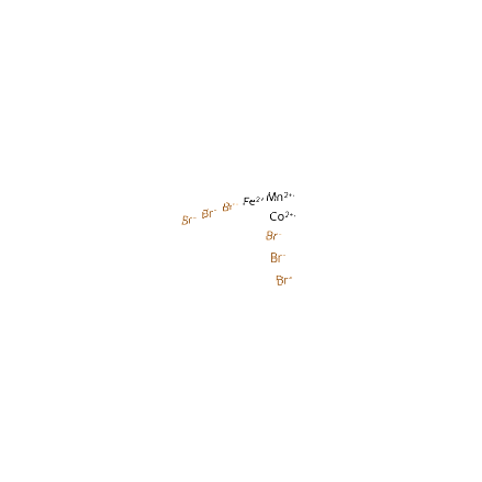 [Br-].[Br-].[Br-].[Br-].[Br-].[Br-].[Co+2].[Fe+2].[Mn+2]